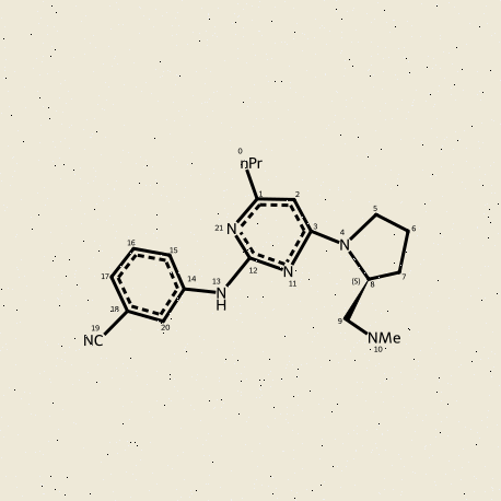 CCCc1cc(N2CCC[C@H]2CNC)nc(Nc2cccc(C#N)c2)n1